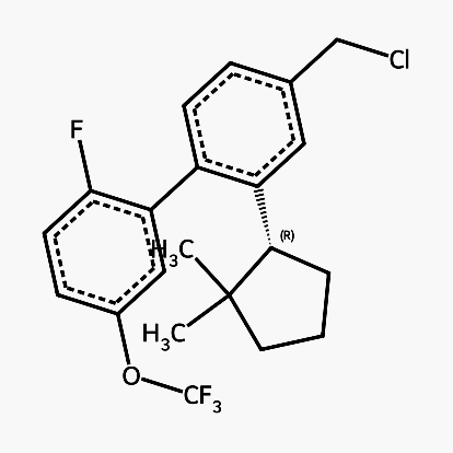 CC1(C)CCC[C@H]1c1cc(CCl)ccc1-c1cc(OC(F)(F)F)ccc1F